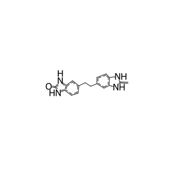 C=C1Nc2ccc(CCc3ccc4[nH]c(=O)[nH]c4c3)cc2N1